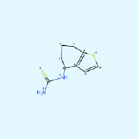 NC(=S)NC1CCCc2sccc21